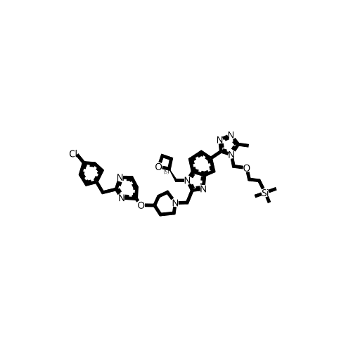 Cc1nnc(-c2ccc3c(c2)nc(CN2CCC(Oc4ccnc(Cc5ccc(Cl)cc5)n4)CC2)n3C[C@@H]2CCO2)n1COCC[Si](C)(C)C